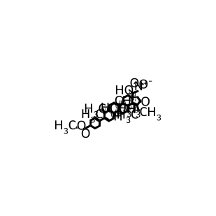 CCOC(=O)C1CC=C(C2=CC[C@]3(C)[C@H]4CC[C@@H]5C6=C(C(C)C)C(=O)C[C@]6([C@@H](O)C[N+](=O)[O-])CC[C@@]5(C)[C@]4(C)CC[C@H]3C2(C)C)CC1